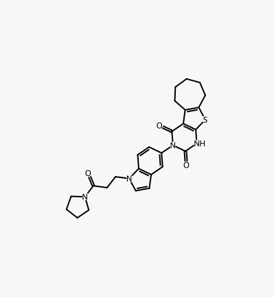 O=C(CCn1ccc2cc(-n3c(=O)[nH]c4sc5c(c4c3=O)CCCCC5)ccc21)N1CCCC1